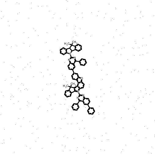 CC1(C)c2ccccc2-c2c1c1c3c(ccc1n2-c1nc(-c2ccccc2)c2cc(-c4ccccc4)ccc2n1)oc1cc(-c2ccc4nc(N5c6ccccc6C6C5c5ccccc5C6(C)C)nc(-c5ccccc5)c4c2)ccc13